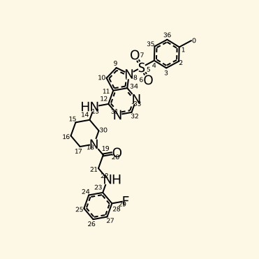 Cc1ccc(S(=O)(=O)n2ccc3c(NC4CCCN(C(=O)CNc5ccccc5F)C4)ncnc32)cc1